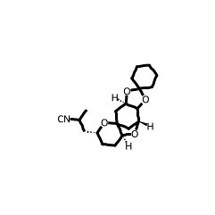 [C-]#[N+]C(C)C[C@H]1CC[C@@H]2O[C@@H]3CC2(C[C@H]2OC4(CCCCC4)OC32)O1